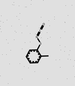 Cc1ccccc1SN=C=O